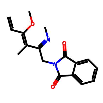 C=C/C(OC)=C(C)/C(CN1C(=O)c2ccccc2C1=O)=N\C